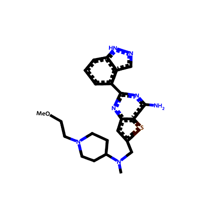 COCCN1CCC(N(C)Cc2cc3nc(-c4cccc5[nH]ncc45)nc(N)c3s2)CC1